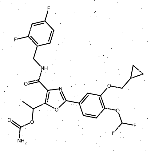 CC(OC(N)=O)c1oc(-c2ccc(OC(F)F)c(OCC3CC3)c2)nc1C(=O)NCc1ccc(F)cc1F